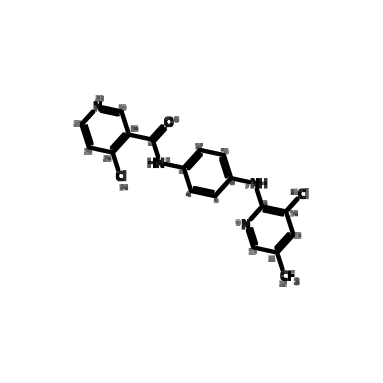 O=C(Nc1ccc(Nc2ncc(C(F)(F)F)cc2Cl)cc1)c1cnccc1Cl